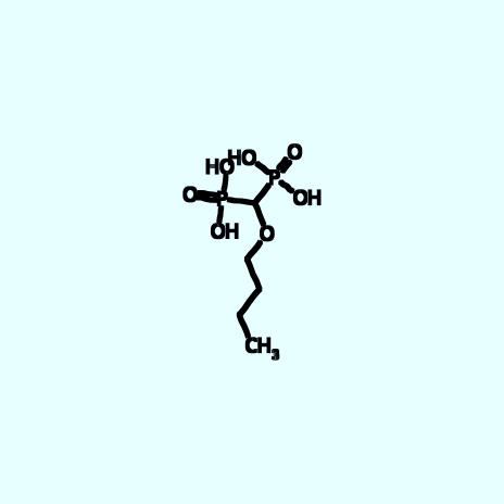 CCCCOC(P(=O)(O)O)P(=O)(O)O